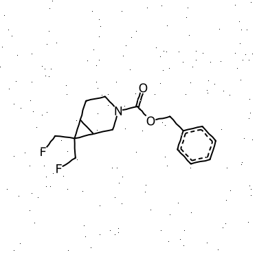 O=C(OCc1ccccc1)N1CCC2C(C1)C2(CF)CF